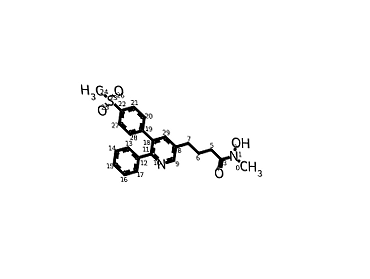 CN(O)C(=O)CCCc1cnc(-c2ccccc2)c(-c2ccc(S(C)(=O)=O)cc2)c1